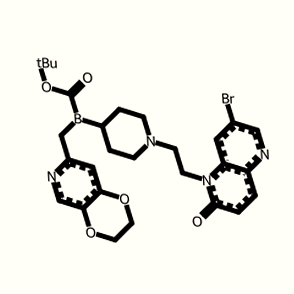 CC(C)(C)OC(=O)B(Cc1cc2c(cn1)OCCO2)C1CCN(CCn2c(=O)ccc3ncc(Br)cc32)CC1